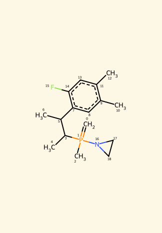 C=P(C)(C(C)C(C)c1cc(C)c(C)cc1F)N1CC1